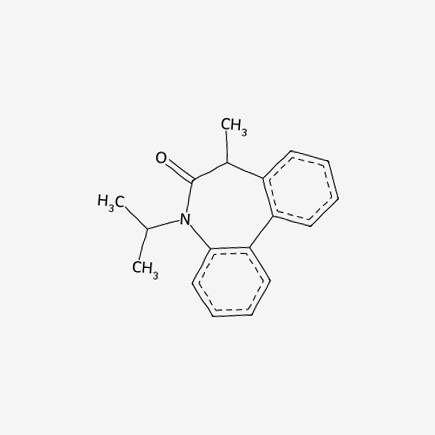 CC1C(=O)N(C(C)C)c2ccccc2-c2ccccc21